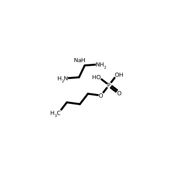 CCCCOP(=O)(O)O.NCCN.[NaH]